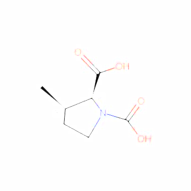 C[C@@H]1CCN(C(=O)O)[C@@H]1C(=O)O